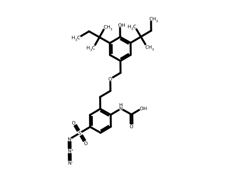 CCC(C)(C)c1cc(COCCc2cc(S(=O)(=O)N=[N+]=[N-])ccc2NC(=O)O)cc(C(C)(C)CC)c1O